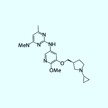 CNc1cc(C)nc(Nc2cnc(OC)c(OC[C@H]3CCN(C4CC4)C3)c2)n1